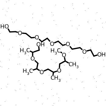 COC(C)COC(C)COC(C)COC(C)CO.OCCOCCOCCOCCOCCOCCO